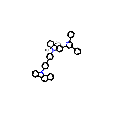 CC12CCCCC1(C)N(c1ccc(-c3ccc(-n4c5ccccc5c5ccc6ccccc6c54)cc3)cc1)c1ccc(-c3cc(-c4ccccc4)cc(-c4ccccc4)n3)cc12